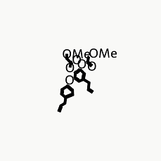 C=CCc1ccc(Oc2cc(CC=C)cc(OC(=O)COC)c2OC(=O)COC)cc1